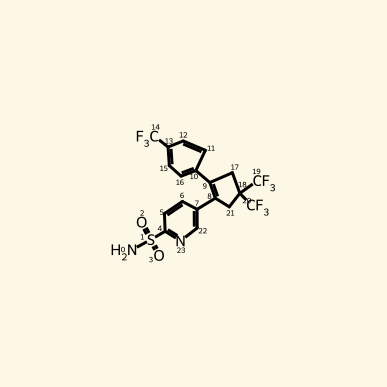 NS(=O)(=O)c1ccc(C2=C(c3ccc(C(F)(F)F)cc3)CC(C(F)(F)F)(C(F)(F)F)C2)cn1